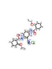 CCOc1ccccc1C(=O)Nc1ccc(NC(=O)c2ccccc2OCC)c([N+]#N)c1.[Cl-]